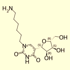 NCCCCCCn1cc([C@@H]2O[C@H](CO)[C@@H](O)[C@H]2O)c(=O)[nH]c1=O